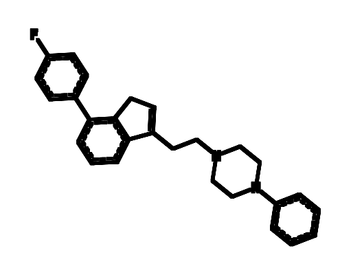 Fc1ccc(-c2cccc3c2CC=C3CCN2CCN(c3ccccc3)CC2)cc1